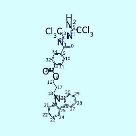 C=C(/N=C(\N=C(/N)C(Cl)(Cl)Cl)C(Cl)(Cl)Cl)c1ccc(C(=O)OCCCn2c3ccccc3c3ccccc32)cc1